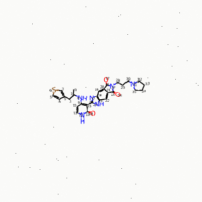 CC(Cc1ccsc1)Nc1cc[nH]c(=O)c1-c1nc2cc3c(cc2[nH]1)C(=O)N(CCCN1CCCC1)C3=O